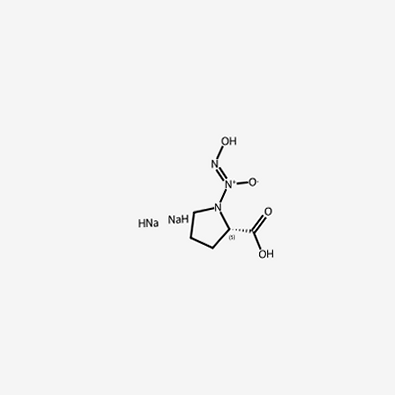 [NaH].[NaH].[O][N+](=NO)N1CCC[C@H]1C(=O)O